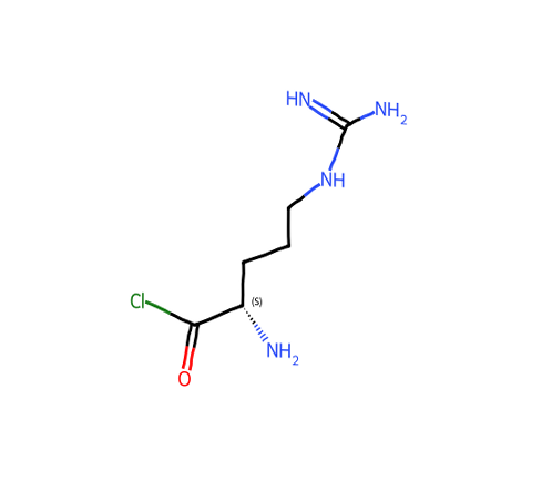 N=C(N)NCCC[C@H](N)C(=O)Cl